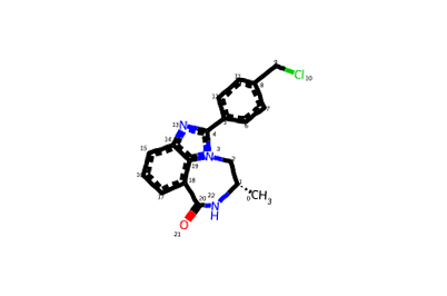 C[C@H]1Cn2c(-c3ccc(CCl)cc3)nc3cccc(c32)C(=O)N1